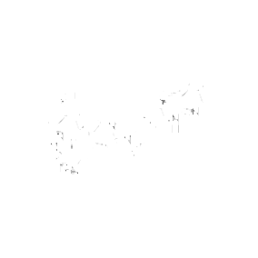 CCOc1cc(-c2ccc(N3C4CC5CC3CC(C(=O)Nc3ncccc3Cl)(C5)C4)nc2)c2c3cn[nH]c3nn2c1